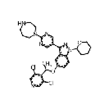 C[C@@H](Oc1ccc2c(c1)c(-c1cnc(N3CCCNCC3)nc1)nn2C1CCCCO1)c1c(Cl)cncc1Cl